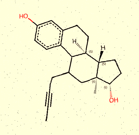 CC#CCC1C[C@]2(C)[C@@H](O)CC[C@H]2[C@@H]2CCc3cc(O)ccc3C12